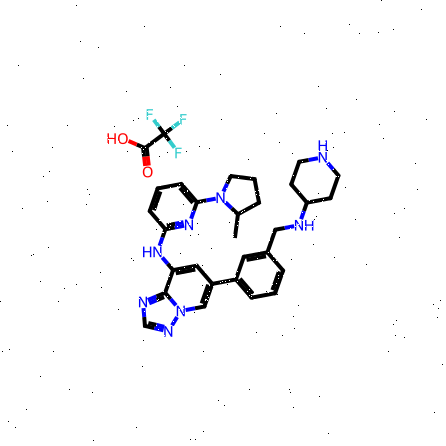 CC1CCCN1c1cccc(Nc2cc(-c3cccc(CNC4CCNCC4)c3)cn3ncnc23)n1.O=C(O)C(F)(F)F